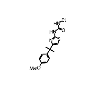 CCNC(=O)Nc1nc(C(C)(C)c2ccc(OC)cc2)cs1